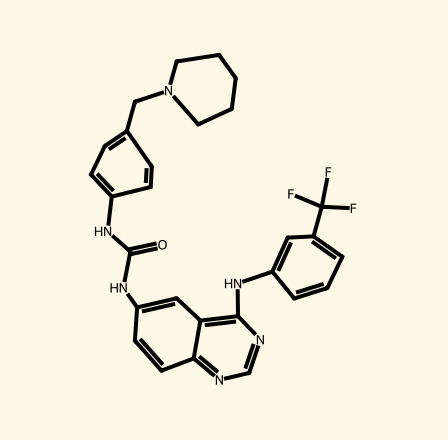 O=C(Nc1ccc(CN2CCCCC2)cc1)Nc1ccc2ncnc(Nc3cccc(C(F)(F)F)c3)c2c1